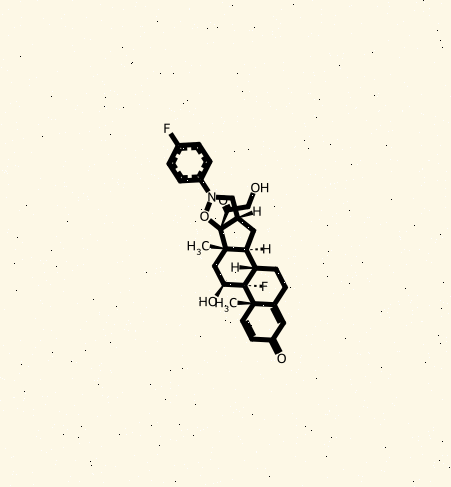 C[C@]12C=CC(=O)C=C1CC[C@H]1[C@@H]3C[C@H]4CN(c5ccc(F)cc5)O[C@@]4(C(=O)CO)[C@@]3(C)C[C@H](O)[C@@]12F